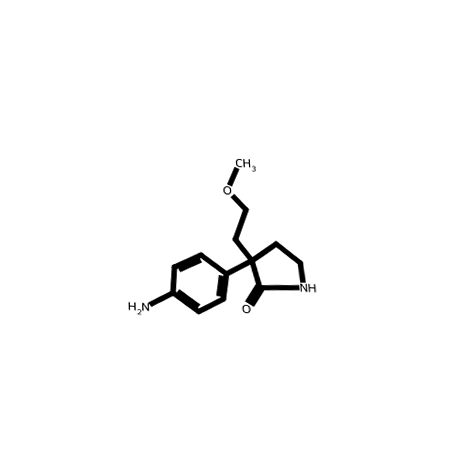 COCCC1(c2ccc(N)cc2)CCNC1=O